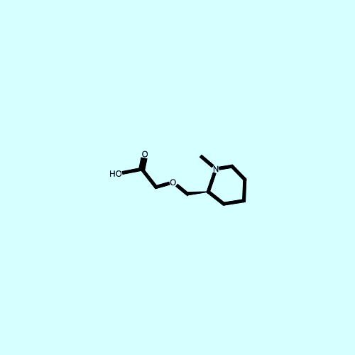 CN1CCCC[C@H]1COCC(=O)O